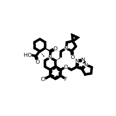 C[C@]1(C(=O)O)CCCC[C@H]1C(=O)N1CCc2c(Cl)cc(F)c(OCc3nnn4c3CCC4)c2[C@H]1CCN1CC2(CC2)CC1=O